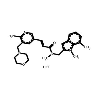 Cc1cccc2cc(CN(C)C(=O)/C=C/c3cnc(N)c(CN4CCOCC4)c3)n(C)c12.Cl